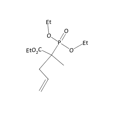 C=CCC(C)(C(=O)OCC)P(=O)(OCC)OCC